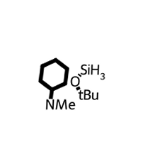 CC(C)(C)O[SiH3].CNC1CCCCC1